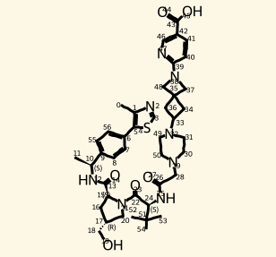 Cc1ncsc1-c1ccc([C@H](C)NC(=O)[C@@H]2C[C@@H](CO)CN2C(=O)[C@@H](NC(=O)CN2CCN(C3CC4(C3)CN(c3ccc(C(=O)O)cn3)C4)CC2)C(C)(C)C)cc1